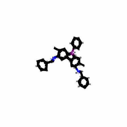 Cc1cc2c(cc1/N=C/c1ccccc1)c1cc(/N=C/c3ccccc3)c(C)cc1p2-c1ccccc1